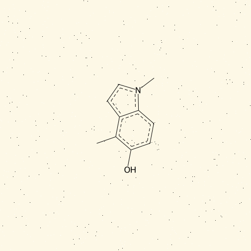 Cc1c(O)ccc2c1ccn2C